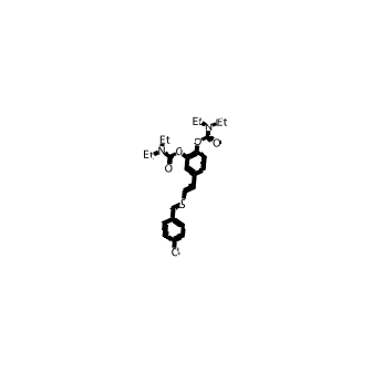 CCN(CC)C(=O)Oc1ccc(/C=C/SCc2ccc(Cl)cc2)cc1OC(=O)N(CC)CC